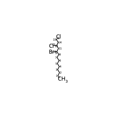 CCCCCCCCCC(Br)CC(Cl)CCCl